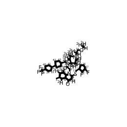 [2H]c1c(C)c([2H])c2c(=O)c([2H])c(SCc3cccc(F)c3F)n(CC(=O)N(Cc3ccc(-c4ccc(C(F)(F)F)cc4)cc3)C3([2H])C([2H])([2H])C([2H])([2H])N(C([2H])([2H])COC([2H])([2H])[2H])C([2H])([2H])C3([2H])[2H])c2c1[2H]